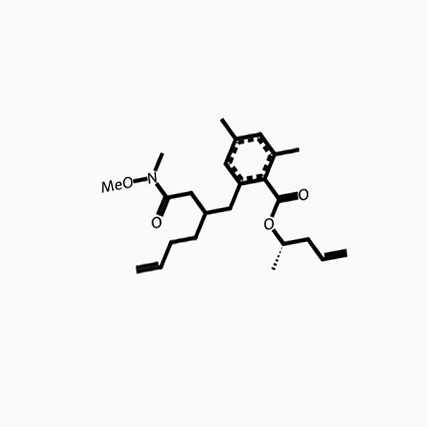 C=CCCC(CC(=O)N(C)OC)Cc1cc(C)cc(C)c1C(=O)O[C@@H](C)CC=C